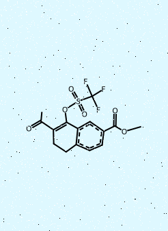 COC(=O)c1ccc2c(c1)C(OS(=O)(=O)C(F)(F)F)=C(C(C)=O)CC2